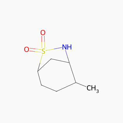 CC1CCC2CC1NS2(=O)=O